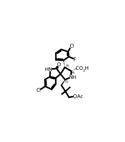 CC(=O)OCC(C)(C)C[C@@H]1N[C@@H](C(=O)O)[C@@H](c2cccc(Cl)c2F)C12C(=O)Nc1cc(Cl)ccc12